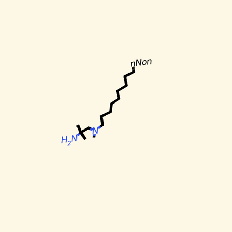 CCCCCCCCCCCCCCCCCCN(C)CC(C)(C)N